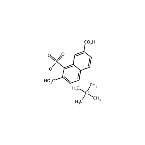 C[P+](C)(C)C.O=C(O)c1ccc2ccc(C(=O)O)c(S(=O)(=O)[O-])c2c1